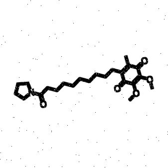 COC1=C(OC)C(=O)C(CCCCCCCCCC(=O)N2CCCC2)=C(C)C1=O